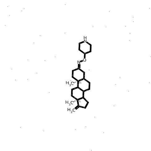 C=C1CCC2C3CCC4CC(=NOC5CCNCC5)CC[C@]4(C)C3CC[C@]12C